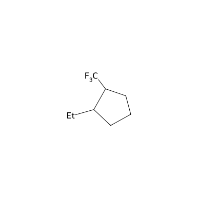 CCC1CCCC1C(F)(F)F